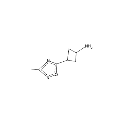 Cc1noc(C2CC(N)C2)n1